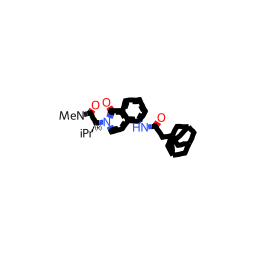 CNC(=O)[C@@H](C(C)C)n1ccc2c(NC(=O)CC34CC5CC(CC(C5)C3)C4)cccc2c1=O